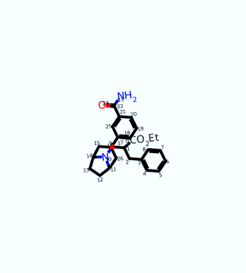 CCOC(=O)C(Cc1ccccc1)CN1C2CCC1CC(c1cccc(C(N)=O)c1)C2